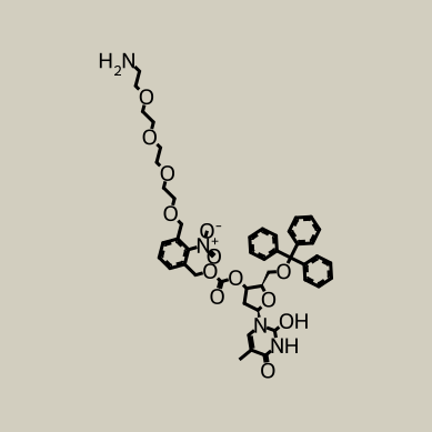 CC1=CN([C@H]2CC(OC(=O)OCc3cccc(COCCOCCOCCOCCN)c3[N+](=O)[O-])[C@@H](COC(c3ccccc3)(c3ccccc3)c3ccccc3)O2)C(O)NC1=O